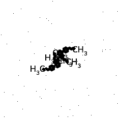 CCCCC1=Cc2c(-c3ccc(CCCC)cc3)cccc2C1[Si](C)(C)C1C(CCCC)=Cc2c(-c3ccc(CCCC)cc3)cccc21